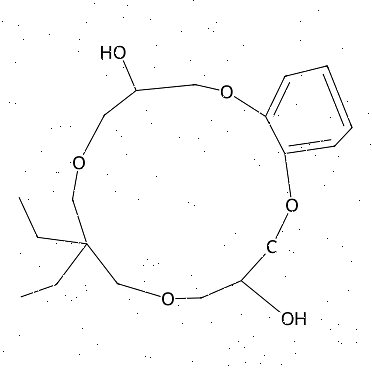 CCC1(CC)COCC(O)COc2ccccc2OCC(O)COC1